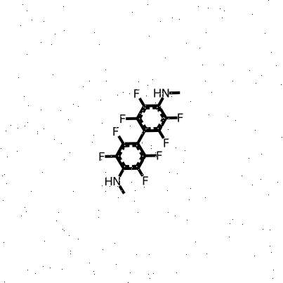 CNc1c(F)c(F)c(-c2c(F)c(F)c(NC)c(F)c2F)c(F)c1F